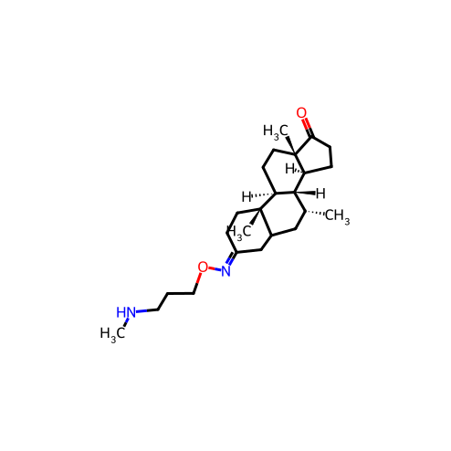 CNCCCON=C1CC[C@@]2(C)C(C1)C[C@@H](C)[C@@H]1[C@@H]2CC[C@]2(C)C(=O)CC[C@@H]12